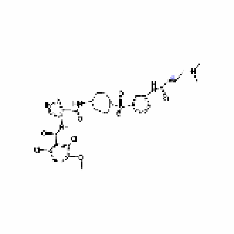 COc1ccc(Cl)c(C(=O)Nc2c[nH]nc2C(=O)NC2CCN(S(=O)(=O)c3cccc(NC(=O)/C=C/CN(C)C)c3)CC2)c1Cl